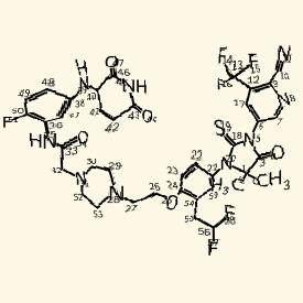 CC1(C)C(=O)N(c2cnc(C#N)c(C(F)(F)F)c2)C(=S)N1c1ccc(OCCN2CCN(CC(=O)Nc3cc(NC4CCC(=O)NC4=O)ccc3F)CC2)c(CC(F)F)c1